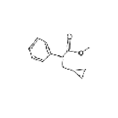 COC(=O)C(CC1CC1)c1ccccc1